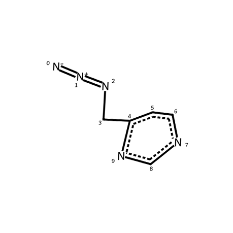 [N-]=[N+]=NCc1ccncn1